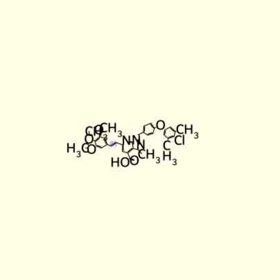 COc1cc(/C=C/c2cc(C(=O)O)c3c(C)nn(Cc4ccc(Oc5cc(C)c(Cl)c(C)c5)cc4)c3n2)cc(OC)c1OC